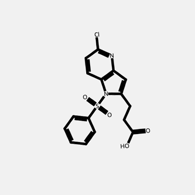 O=C(O)CCc1cc2nc(Cl)ccc2n1S(=O)(=O)c1ccccc1